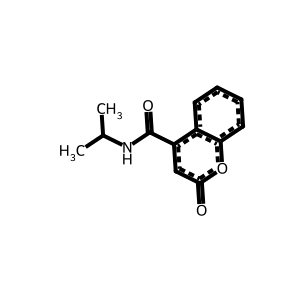 CC(C)NC(=O)c1cc(=O)oc2ccccc12